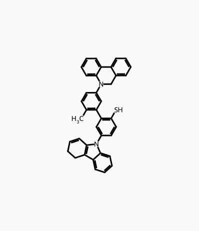 Cc1ccc(N2Cc3ccccc3-c3ccccc32)cc1-c1cc(-n2c3c(c4ccccc42)CCC=C3)ccc1S